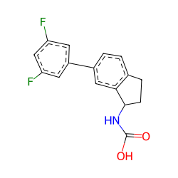 O=C(O)NC1CCc2ccc(-c3cc(F)cc(F)c3)cc21